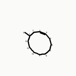 CC1C/C=C\CCCCCCCC1